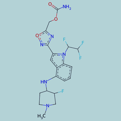 CN1CCC(Nc2cccc3c2cc(-c2noc(COC(N)=O)n2)n3C(F)C(F)F)C(F)C1